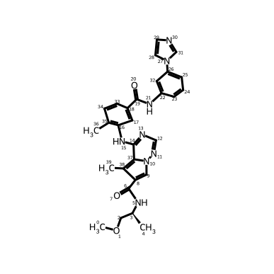 COC[C@H](C)NC(=O)c1cn2ncnc(Nc3cc(C(=O)Nc4cccc(-n5ccnc5)c4)ccc3C)c2c1C